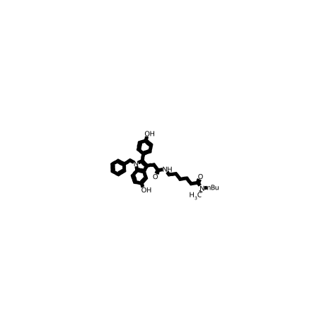 CCCCN(C)C(=O)CCCCCNC(=O)Cc1c(-c2ccc(O)cc2)n(Cc2ccccc2)c2ccc(O)cc12